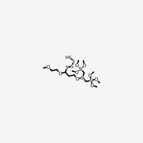 COCCOC(CCO[Si](C[Si](OC)(OC)OC)C[Si](OC)(OC)OC)SSSS